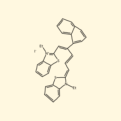 CCN1C(=CC=CC(=Cc2sc3ccccc3[n+]2CC)c2cccc3ccccc23)Sc2ccccc21.[I-]